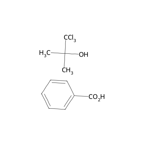 CC(C)(O)C(Cl)(Cl)Cl.O=C(O)c1ccccc1